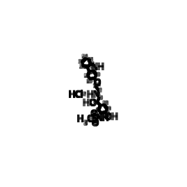 CS(=O)(=O)Nc1cc([C@H](O)CNCCOc2ccc3c(c2)[nH]c2ccccc23)ccc1O.Cl